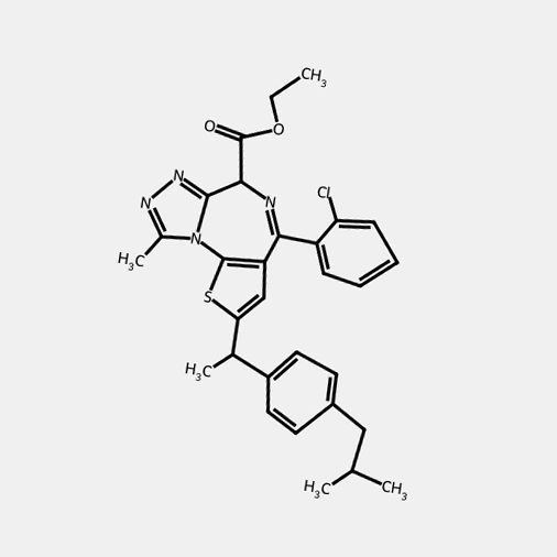 CCOC(=O)C1N=C(c2ccccc2Cl)c2cc(C(C)c3ccc(CC(C)C)cc3)sc2-n2c(C)nnc21